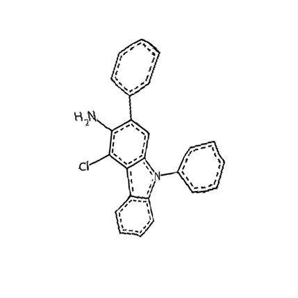 Nc1c(-c2ccccc2)cc2c(c1Cl)c1ccccc1n2-c1ccccc1